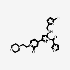 O=C(c1ccoc1)n1nc(-c2ccn(CCN3CCOCC3)c(=O)c2)cc1NCc1ccc(Cl)s1